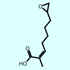 CC(=CCCCCC1CO1)C(=O)O